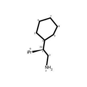 CC(C)[C@H](CN)C1CCCCC1